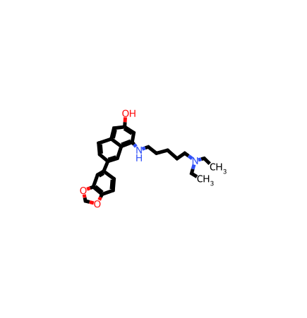 CCN(CC)CCCCCNc1cc(O)cc2ccc(-c3ccc4c(c3)OCO4)cc12